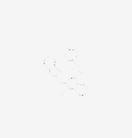 CC(=O)c1ccc(S(=O)(=O)Nc2cc(Sc3nc4ccccc4s3)c(O)c3ccccc23)cc1